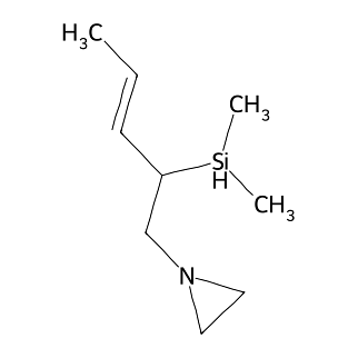 CC=CC(CN1CC1)[SiH](C)C